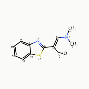 CN(C)C=C(C=O)c1nc2ccccc2s1